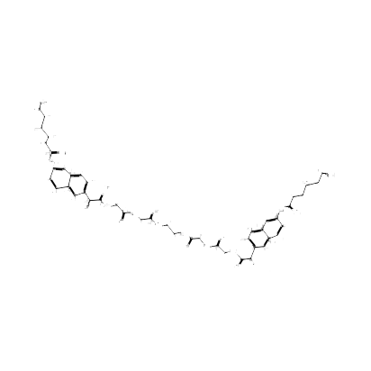 CC(C(=O)OCC(=O)OCC(=O)OCCOC(=O)COC(=O)COC(=O)C(C)c1ccc2cc(OC(=O)CCCCCBr)ccc2c1)c1ccc2cc(OC(=O)CCCCCBr)ccc2c1